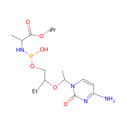 CCC(COP(O)NC(C)C(=O)OC(C)C)OC(C)n1ccc(N)nc1=O